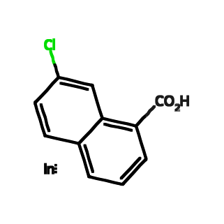 O=C(O)c1cccc2ccc(Cl)cc12.[In]